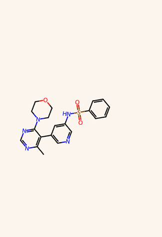 Cc1ncnc(N2CCOCC2)c1-c1cncc(NS(=O)(=O)c2ccccc2)c1